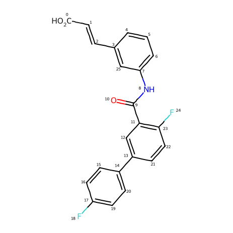 O=C(O)C=Cc1cccc(NC(=O)c2cc(-c3ccc(F)cc3)ccc2F)c1